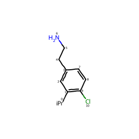 CC(C)c1cc(CCN)ccc1Cl